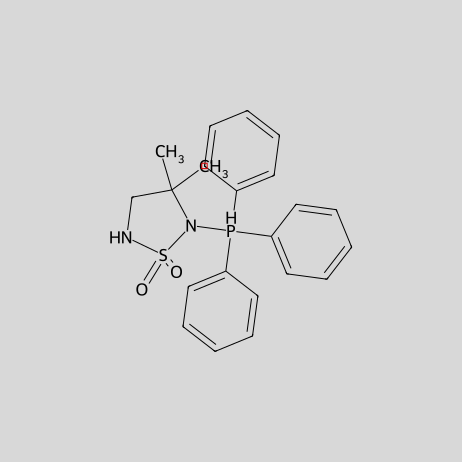 CC1(C)CNS(=O)(=O)N1[PH](c1ccccc1)(c1ccccc1)c1ccccc1